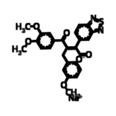 COc1cccc(C/C(C(=O)c2ccc(OC)c(OC)c2)=C(\C(=O)[O-])c2ccc3nsnc3c2)c1.[Na+]